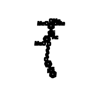 COc1ccc(-c2cc(-c3cc(OC)c(OC)c(OC)c3)nn2C(C)=O)cc1OCCCCCCOc1ccc(-c2nc3ccccc3s2)cc1